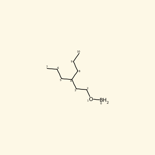 BOCCC(CCC)CCC